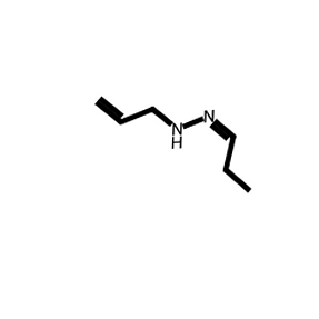 C=CCN/N=C\CC